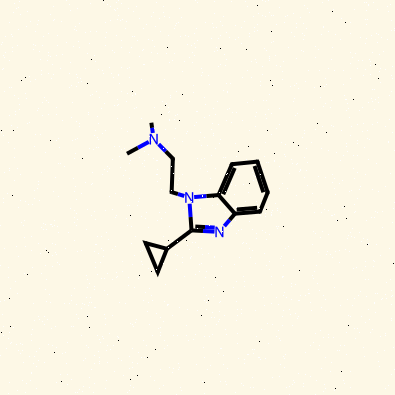 CN(C)CCn1c(C2CC2)nc2ccccc21